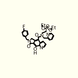 CCOP(=O)(CCN(Cc1ccccn1)C(=O)c1c2c(c(O)c3ncccc13)C(=O)N(Cc1ccc(F)cc1)C2)OCC